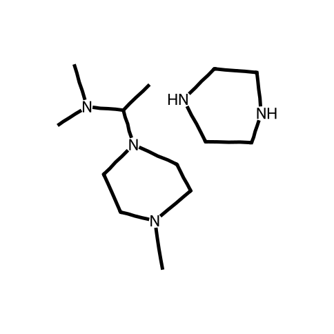 C1CNCCN1.CC(N(C)C)N1CCN(C)CC1